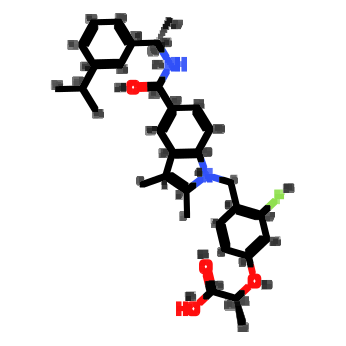 Cc1c(C)n(Cc2ccc(O[C@@H](C)C(=O)O)cc2F)c2ccc(C(=O)N[C@@H](C)c3cccc(C(C)C)c3)cc12